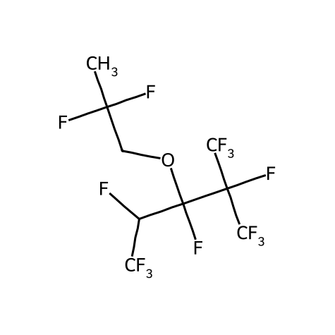 CC(F)(F)COC(F)(C(F)C(F)(F)F)C(F)(C(F)(F)F)C(F)(F)F